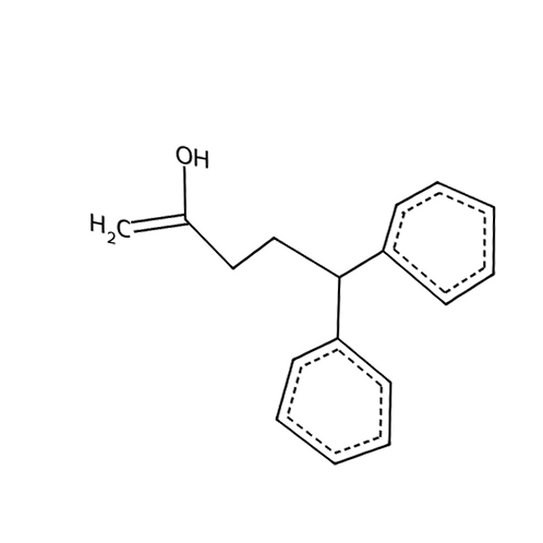 C=C(O)CCC(c1ccccc1)c1ccccc1